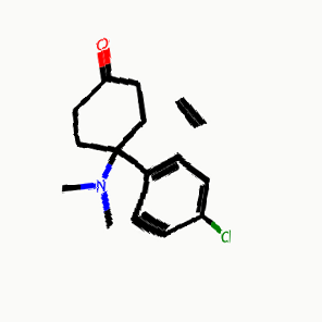 C=C.CN(C)C1(c2ccc(Cl)cc2)CCC(=O)CC1